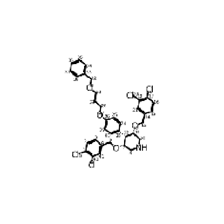 Clc1ccc(CO[C@H]2CNC[C@@H](OCc3ccc(Cl)c(Cl)c3)[C@H]2c2ccc(OCCCOCc3ccccc3)cc2)cc1Cl